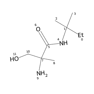 CCC(C)(C)NC(=O)C(C)(N)CO